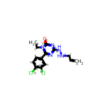 C=CCNNc1nc(-c2ccc(Cl)c(Cl)c2)n(CC)c(=O)n1